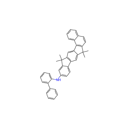 CC1(C)c2cc(Nc3ccccc3-c3ccccc3)ccc2-c2cc3c(cc21)-c1c(ccc2ccccc12)C3(C)C